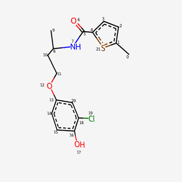 Cc1ccc(C(=O)NC(C)CCOc2ccc(O)c(Cl)c2)s1